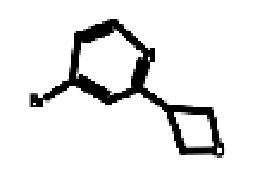 Brc1ccnc(C2COC2)c1